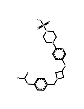 CS(=O)(=O)N1CCN(c2ccc(OC3CN(Cc4ccc(OC(F)F)cc4)C3)cn2)CC1